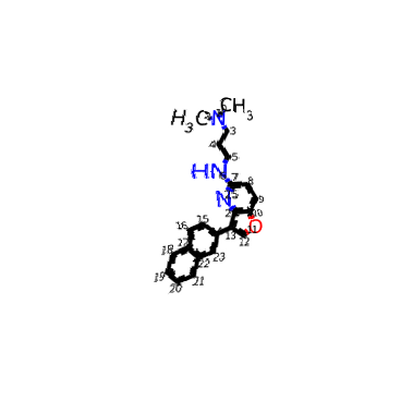 CN(C)CCCNc1ccc2occ(-c3ccc4ccccc4c3)c2n1